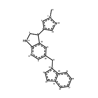 Cn1cc(C2CNc3ncc(Cn4ccc5ccccc54)cc32)cn1